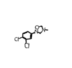 CN1CON(c2ccc(Cl)c(Cl)c2)C1